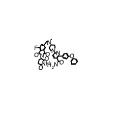 CN(Cc1cc(F)c2c(c1)C(=O)N(C1CCC(=O)NC1=O)C2=O)C1CCN(c2ccc(C(N)=O)c(-c3ccc(Oc4ccccc4)cc3)n2)CC1